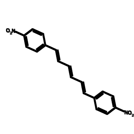 O=[N+]([O-])c1ccc(C=CC=CC=Cc2ccc([N+](=O)[O-])cc2)cc1